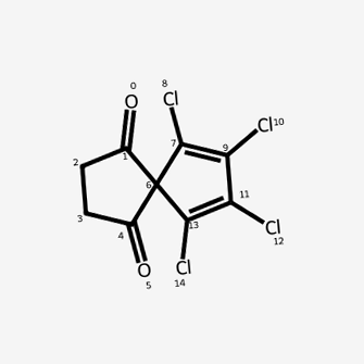 O=C1CCC(=O)C12C(Cl)=C(Cl)C(Cl)=C2Cl